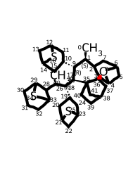 C[C@@H](C1CC2CC(C1)O2)[C@@H](C1CC2CC(C1)S2)[C@H]([C@H](C1CC2CC(C1)S2)[C@@H](C)C1C2CCCC1S2)C12CCC(CC1)C2